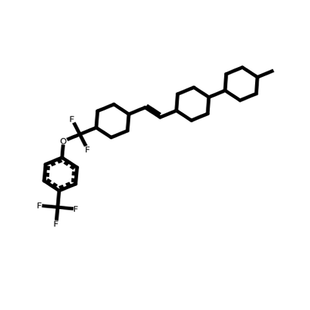 CC1CCC(C2CCC(/C=C/C3CCC(C(F)(F)Oc4ccc(C(F)(F)F)cc4)CC3)CC2)CC1